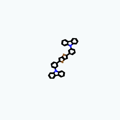 c1cc(-c2cc3sc(-c4cccc(-n5c6ccccc6c6ccccc65)c4)cc3s2)cc(-n2c3ccccc3c3ccccc32)c1